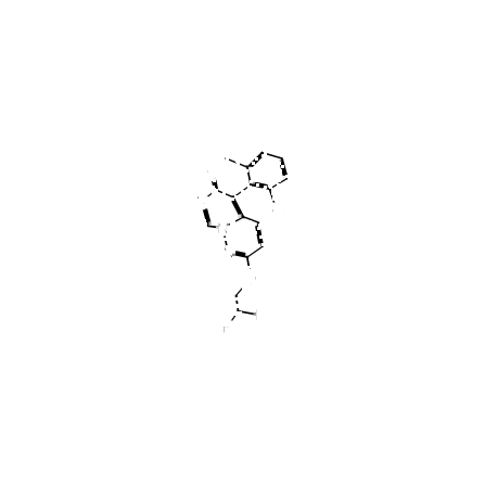 O=c1ncn2nc(OCC(F)F)ccc2c1-c1c(Cl)cccc1Cl